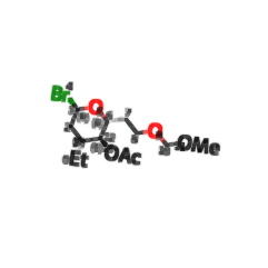 CC[C@@H]1C[C@@H](Br)O[C@H](CCOCOC)[C@H]1OC(C)=O